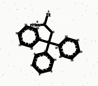 CCCCCCC(CC)CC(c1ccccc1)(c1ccccc1)c1ccccc1